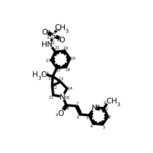 Cc1cccc(C=CC(=O)N2CC3C(C2)C3(C)c2cccc(NS(C)(=O)=O)c2)n1